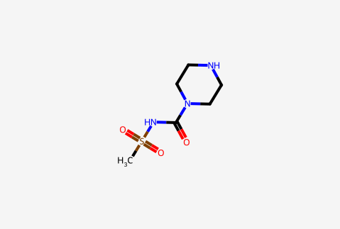 CS(=O)(=O)NC(=O)N1CCNCC1